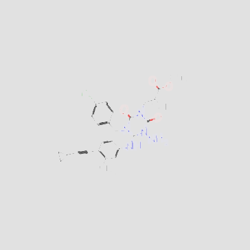 COC(=O)[C@@H](C)CN1C(=O)N(N)C(Nc2ccc(C#CC3CC3)c(C)c2)N(Cc2ccc(Cl)cc2)C1=O